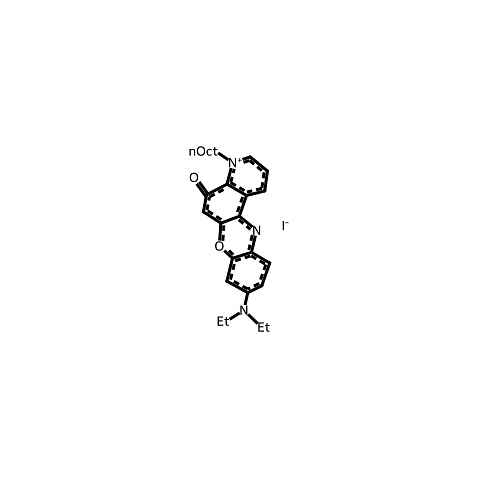 CCCCCCCC[n+]1cccc2c3nc4ccc(N(CC)CC)cc4oc-3cc(=O)c21.[I-]